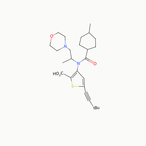 CC1CCC(C(=O)N(c2cc(C#CC(C)(C)C)sc2C(=O)O)C(C)CN2CCOCC2)CC1